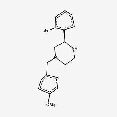 COc1ccc(CN2CCN[C@H](c3ccccc3C(C)C)C2)cc1